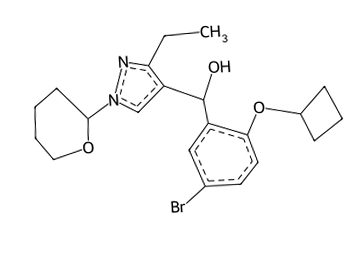 CCc1nn(C2CCCCO2)cc1C(O)c1cc(Br)ccc1OC1CCC1